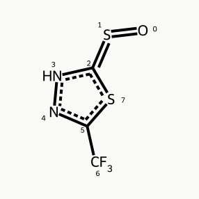 O=S=c1[nH]nc(C(F)(F)F)s1